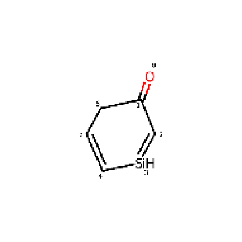 O=C1C=[SiH]C=CC1